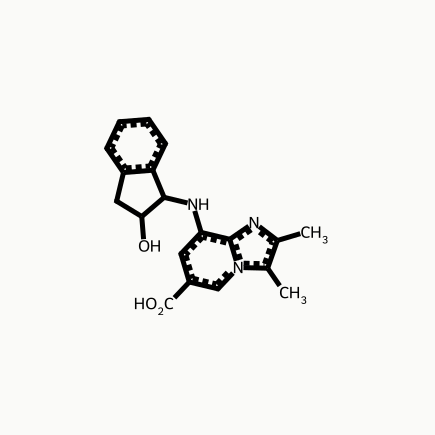 Cc1nc2c(NC3c4ccccc4CC3O)cc(C(=O)O)cn2c1C